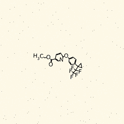 CCOC(=O)c1ccc(Oc2ccc(C3(C(F)(F)C(F)(F)F)CC3)cc2)nc1